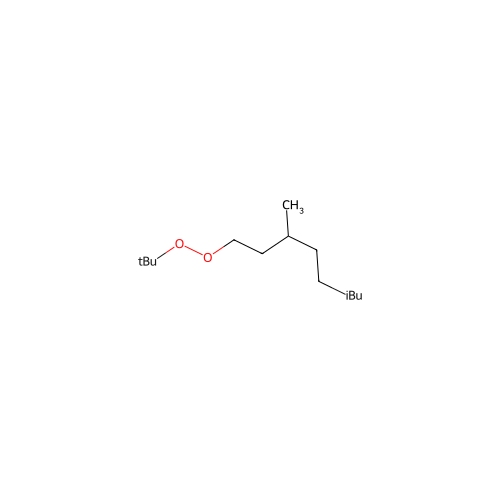 CCC(C)CCC(C)CCOOC(C)(C)C